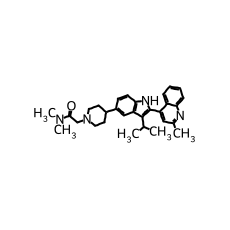 Cc1cc(-c2[nH]c3ccc(C4CCN(CC(=O)N(C)C)CC4)cc3c2C(C)C)c2ccccc2n1